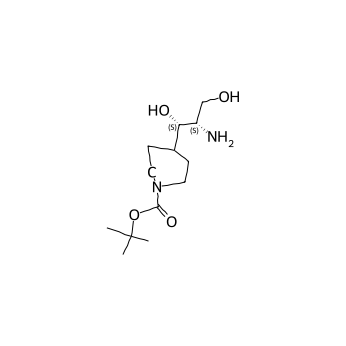 CC(C)(C)OC(=O)N1CCC([C@H](O)[C@@H](N)CO)CC1